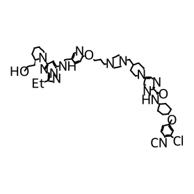 CCc1cnn2c(NCc3ccc(OCCCN4CCN(CC5CCN(c6cnc(C(=O)NC7CCC(Oc8ccc(C#N)c(Cl)c8)CC7)nc6)CC5)CC4)nc3)cc(N3CCCC[C@@H]3CCO)nc12